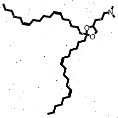 CCCCC/C=C\CCCC/C=C\CCCCCC1(CCCCC/C=C\CCCC/C=C\CCCCC)OCC(CCCN(C)C)O1